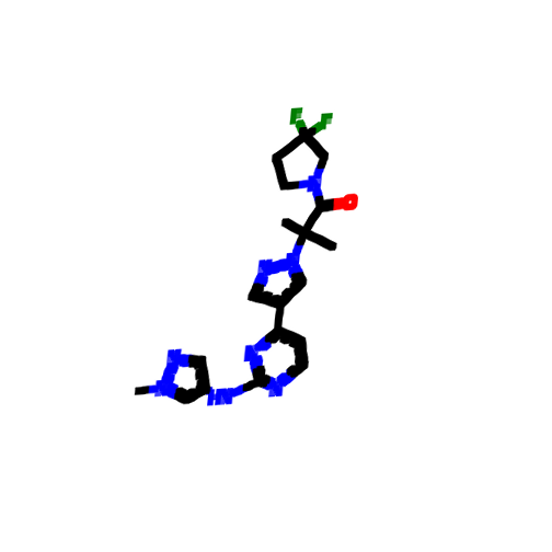 Cn1cc(Nc2nccc(-c3cnn(C(C)(C)C(=O)N4CCC(F)(F)C4)c3)n2)cn1